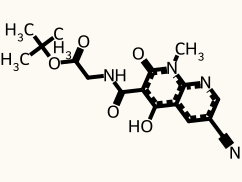 Cn1c(=O)c(C(=O)NCC(=O)OC(C)(C)C)c(O)c2cc(C#N)cnc21